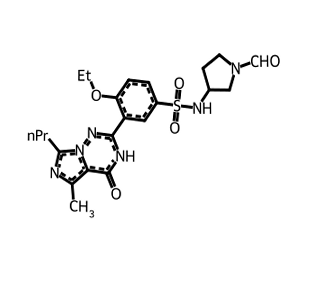 CCCc1nc(C)c2c(=O)[nH]c(-c3cc(S(=O)(=O)NC4CCN(C=O)C4)ccc3OCC)nn12